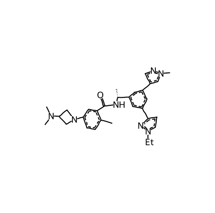 CCn1ccc(-c2cc(-c3cnn(C)c3)cc([C@@H](C)NC(=O)c3cc(N4CC(N(C)C)C4)ccc3C)c2)n1